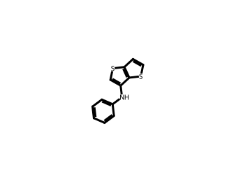 c1ccc(Nc2csc3ccsc23)cc1